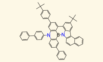 CC(C)(C)c1ccc(-c2cc3c4c(c2)N(c2ccc(-c5ccccc5)cc2)c2ccc(-c5ccccc5)cc2B4n2c4ccc5ccccc5c4c4cc(C(C)(C)C)cc-3c42)cc1